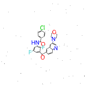 O=C(Nc1cc(F)cc(C(=O)c2ccc3ncc(N4CCOCC4)cc3c2)c1F)c1ccc(Cl)cc1